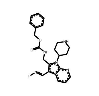 O=C(NCc1c(C=NF)c2cccnc2n1C1CCNCC1)OCc1ccccc1